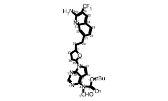 CC(C)(C)OC(=O)N(C=O)c1ncnc2c1ccn2C1CCC(CCc2ccc3cc(C(F)(F)F)c(N)nc3c2)O1